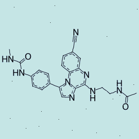 CNC(=O)Nc1ccc(-c2cnc3c(NCCNC(C)=O)nc4cc(C#N)ccc4n23)cc1